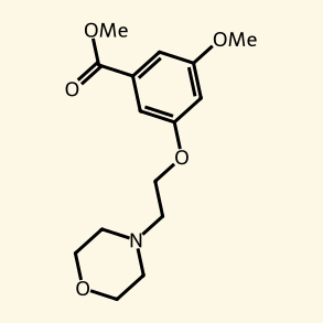 COC(=O)c1cc(OC)cc(OCCN2CCOCC2)c1